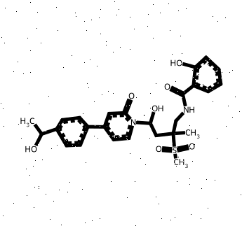 CC(O)c1ccc(-c2ccn(C(O)CC(C)(CNC(=O)c3ccccc3O)S(C)(=O)=O)c(=O)c2)cc1